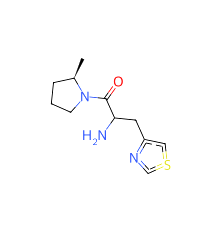 C[C@@H]1CCCN1C(=O)C(N)Cc1cscn1